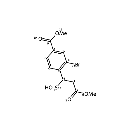 COC(=O)CC(c1ccc(C(=O)OC)cc1Br)S(=O)(=O)O